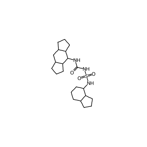 O=C(NC1C2CCCC2CC2CCCC21)NS(=O)(=O)NC1CCCC2CCCC21